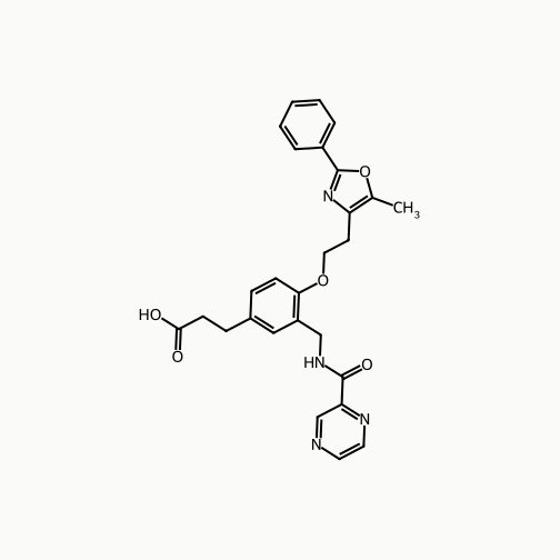 Cc1oc(-c2ccccc2)nc1CCOc1ccc(CCC(=O)O)cc1CNC(=O)c1cnccn1